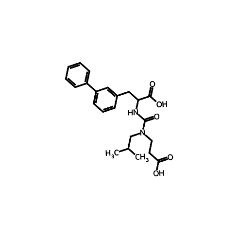 CC(C)CN(CCC(=O)O)C(=O)NC(Cc1cccc(-c2ccccc2)c1)C(=O)O